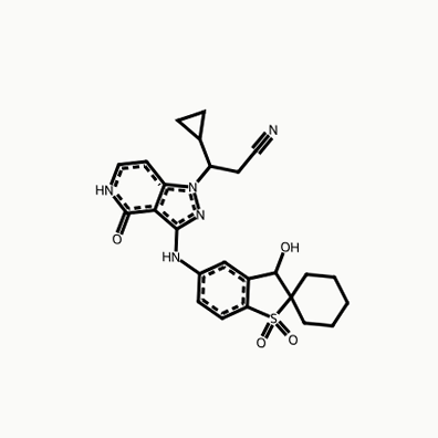 N#CCC(C1CC1)n1nc(Nc2ccc3c(c2)C(O)C2(CCCCC2)S3(=O)=O)c2c(=O)[nH]ccc21